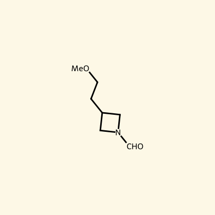 COCCC1CN(C=O)C1